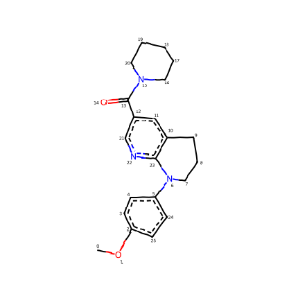 COc1ccc(N2CCCc3cc(C(=O)N4CCCCC4)cnc32)cc1